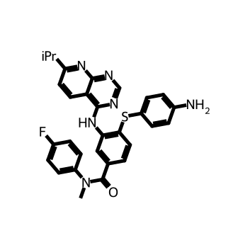 CC(C)c1ccc2c(Nc3cc(C(=O)N(C)c4ccc(F)cc4)ccc3Sc3ccc(N)cc3)ncnc2n1